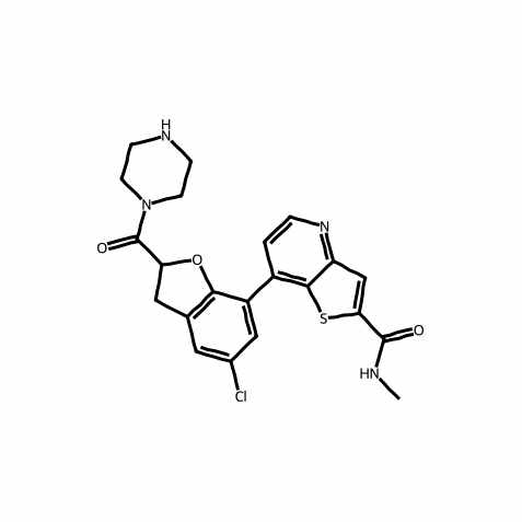 CNC(=O)c1cc2nccc(-c3cc(Cl)cc4c3OC(C(=O)N3CCNCC3)C4)c2s1